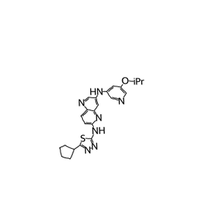 CC(C)Oc1cncc(Nc2cnc3ccc(Nc4nnc(C5CCCC5)s4)nc3c2)c1